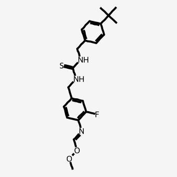 COO/C=N/c1ccc(CNC(=S)NCc2ccc(C(C)(C)C)cc2)cc1F